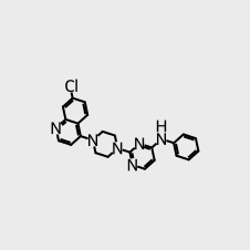 Clc1ccc2c(N3CCN(c4nccc(Nc5ccccc5)n4)CC3)ccnc2c1